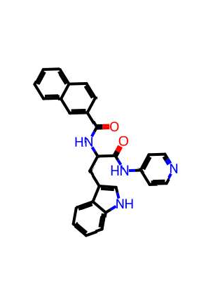 O=C(NC(Cc1c[nH]c2ccccc12)C(=O)Nc1ccncc1)c1ccc2ccccc2c1